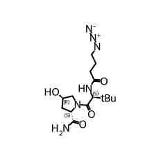 CC(C)(C)[C@H](NC(=O)CCCN=[N+]=[N-])C(=O)N1C[C@H](O)C[C@H]1C(N)=O